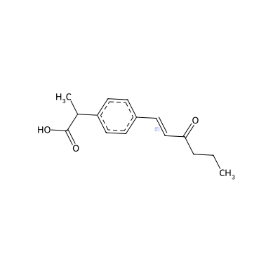 CCCC(=O)/C=C/c1ccc(C(C)C(=O)O)cc1